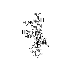 C#C[C@@]1(F)[C@H](O)[C@@H](CO[P@@](=O)(N[C@H](C)C(=O)OC(C)C)Oc2cccc3ccccc23)O[C@H]1n1cnc2c(NC3CC3)nc(N)nc21